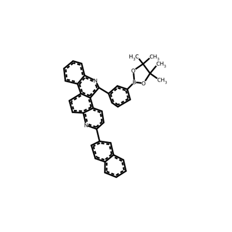 CC1(C)OB(c2cccc(-c3nc4ccccc4c4ccc5nc(-c6ccc7ccccc7c6)ccc5c34)c2)OC1(C)C